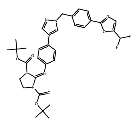 CC(C)(C)OC(=O)N1CCN(C(=O)OC(C)(C)C)C1=Nc1ccc(-c2cnn(Cc3ccc(-c4nnc(C(F)F)o4)cc3)c2)cc1